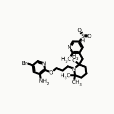 Cc1ncc([SH](=O)=O)cc1CC1(C)CCCC(C)(C)N1CCCOc1ncc(Br)cc1N